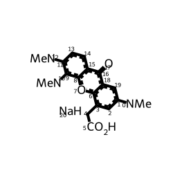 CNc1cc(CC(=O)O)c2oc3c(NC)c(NC)ccc3c(=O)c2c1.[NaH]